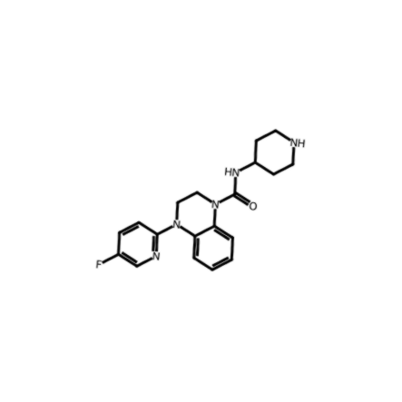 O=C(NC1CCNCC1)N1CCN(c2ccc(F)cn2)c2ccccc21